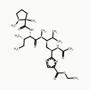 CCOC(=O)c1csc([C@@H](C[C@H](C(C)C)N(C)C(=O)[C@@H](NC(=O)[C@@]2(C)CCCN2C)[C@@H](C)CC)NC(C)=O)n1